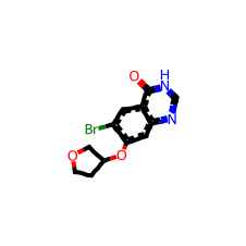 O=c1[nH]cnc2cc(OC3CCOC3)c(Br)cc12